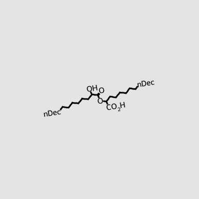 CCCCCCCCCCCCCCCCC(O)C(=O)OC(CCCCCCCCCCCCCCCC)C(=O)O